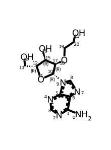 Nc1ncnc2c1ncn2[C@@H]1O[C@H](CO)[C@@H](O)[C@H]1OCCO